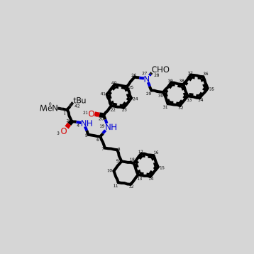 CNC(C(=O)NCC(CCC1CCCc2ccccc21)NC(=O)c1ccc(CN(C=O)Cc2ccc3ccccc3c2)cc1)C(C)(C)C